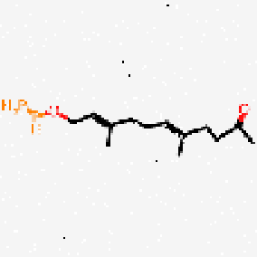 CC(=O)CC/C(C)=C/CC/C(C)=C/COPP